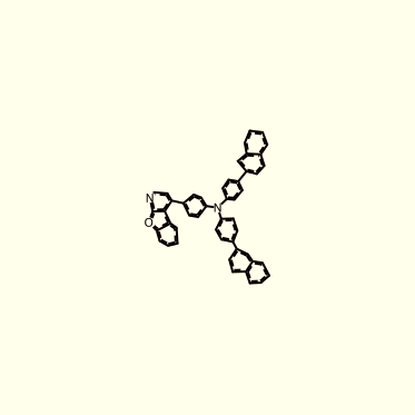 c1ccc2cc(-c3ccc(N(c4ccc(-c5ccc6ccccc6c5)cc4)c4ccc(-c5ccnc6oc7ccccc7c56)cc4)cc3)ccc2c1